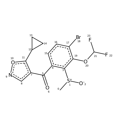 C[S+]([O-])c1c(C(=O)c2cnoc2C2CC2)ccc(Br)c1OC(F)F